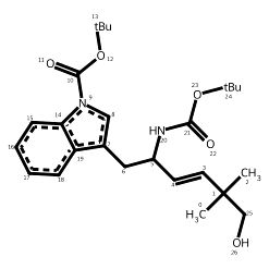 CC(C)(/C=C/C(Cc1cn(C(=O)OC(C)(C)C)c2ccccc12)NC(=O)OC(C)(C)C)CO